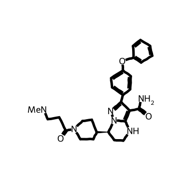 CNCCC(=O)N1CCC([C@@H]2CCNc3c(C(N)=O)c(-c4ccc(Oc5ccccc5)cc4)nn32)CC1